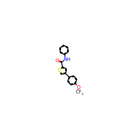 O=C(Nc1cc[c]cc1)c1cc(-c2ccc(OC(F)(F)F)cc2)cs1